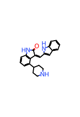 O=C1Nc2cccc(C3CCNCC3)c2C1=Cc1cc2ccccc2[nH]1